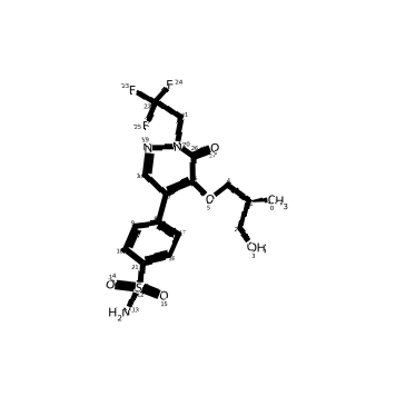 C[C@@H](CO)COc1c(-c2ccc(S(N)(=O)=O)cc2)cnn(CC(F)(F)F)c1=O